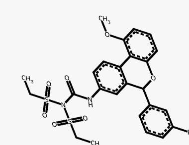 CCS(=O)(=O)N(C(=O)Nc1ccc2c(c1)C(c1cccc(F)c1)Oc1cccc(OC)c1-2)S(=O)(=O)CC